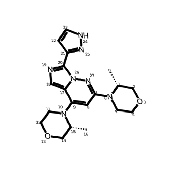 C[C@@H]1COCCN1c1cc(N2CCOC[C@H]2C)c2cnc(-c3cc[nH]n3)n2n1